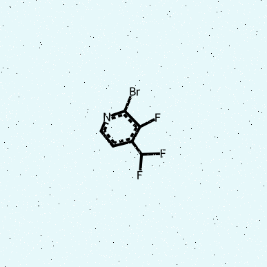 Fc1c(C(F)F)ccnc1Br